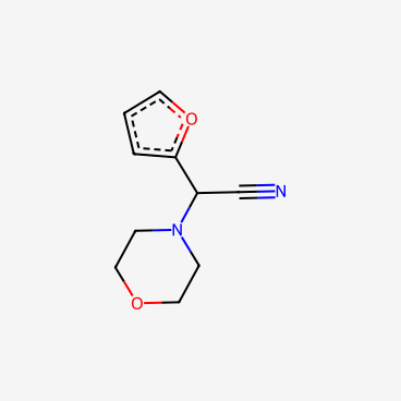 N#CC(c1ccco1)N1CCOCC1